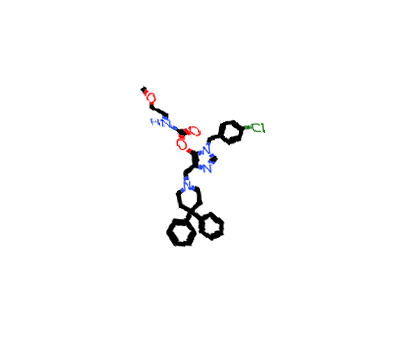 COCCNC(=O)Oc1c(CN2CCC(c3ccccc3)(c3ccccc3)CC2)ncn1Cc1ccc(Cl)cc1